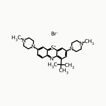 CN1CCN(c2ccc3nc4c(C(C)(C)C)cc(N5CCN(C)CC5)cc4[s+]c3c2)CC1.[Br-]